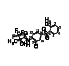 Cc1ccccc1S(=O)(=O)c1ccc(NC(=O)C(C)(O)C(F)(F)F)c(Cl)c1